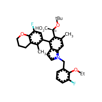 CCOc1c(F)cccc1Cn1ccc2c(-c3cc(F)c4c(c3C)CCCO4)c([C@H](OC(C)(C)C)C(=O)O)c(C)cc21